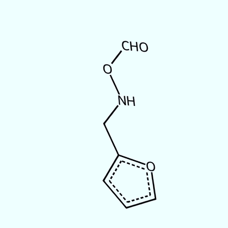 O=CONCc1ccco1